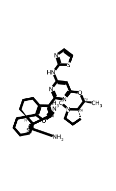 C[C@H](Oc1cc(Nc2nccs2)nc(-c2noc3c2CCC[C@@]32CCCc3sc(N)c(C#N)c32)n1)[C@@H]1CCCN1C